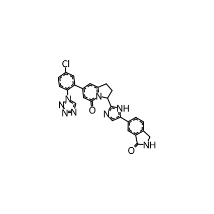 O=C1NCc2ccc(-c3cnc(C4CCc5cc(-c6cc(Cl)ccc6-n6cnnn6)cc(=O)n54)[nH]3)cc21